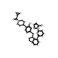 CCc1cc(CC2CCc3cccc(-c4cccc(-n5nccc5CC)n4)c32)ccc1C1CCN(C(=O)C2CC2)CC1